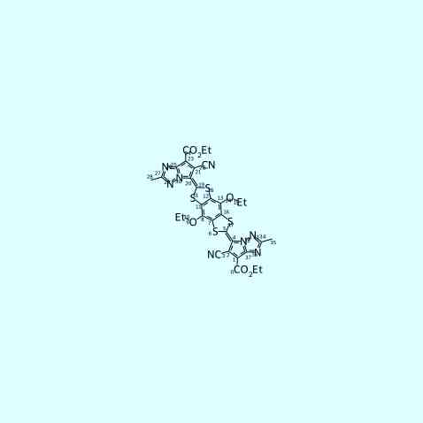 CCOC(=O)c1c(C#N)c(=C2Sc3c(OCC)c4c(c(OCC)c3S2)SC(=c2c(C#N)c(C(=O)OCC)c3nc(C)nn23)S4)n2nc(C)nc12